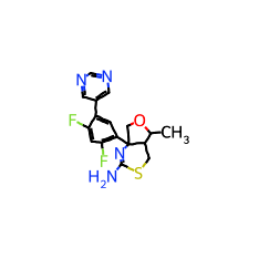 CC1OCC2(c3cc(-c4cncnc4)c(F)cc3F)N=C(N)SCC12